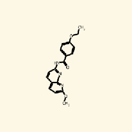 CCOc1ccc(C(=O)Nc2ccc3ccc(OC)nc3n2)cc1